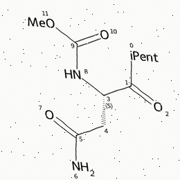 CCCC(C)C(=O)[C@H](CC(N)=O)NC(=O)OC